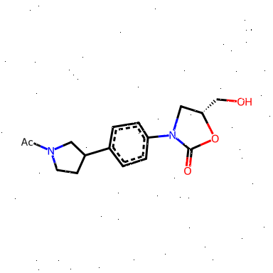 CC(=O)N1CCC(c2ccc(N3C[C@H](CO)OC3=O)cc2)C1